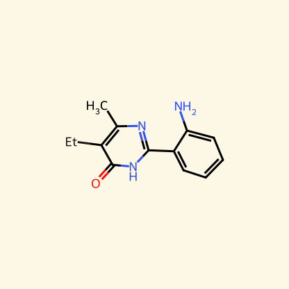 CCc1c(C)nc(-c2ccccc2N)[nH]c1=O